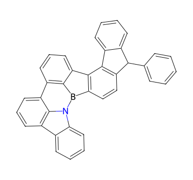 c1ccc(C2c3ccccc3-c3c2ccc2c3-c3cccc4c3B2n2c3ccccc3c3cccc-4c32)cc1